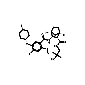 COc1cc(F)c(O[C@H]2CC[C@H](C)CC2)cc1C(=O)N[C@@H]1[C@H]2CC[C@H](C2)[C@@H]1C(=O)NCC(C)(C)O